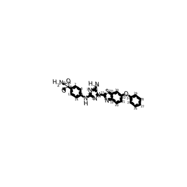 Nc1nc(Nc2ccc(S(N)(=O)=O)cc2)nn1-c1nc2ccc(Oc3ccccc3)cc2s1